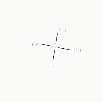 CCCC[Si](Cl)(CCCC)C(C)CC